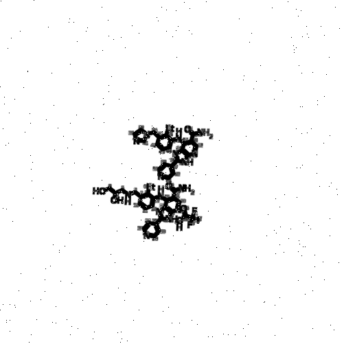 CCc1c(CNCC(O)CO)cccc1Nc1c(C(N)=O)cnc2[nH]c(-c3ccncc3)nc12.CCc1c(Cn2ccnc2)cccc1Nc1c(C(N)=O)cnc2[nH]c(-c3ccncc3)nc12.O=C(O)C(F)(F)F